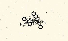 CN(Cc1ccccc1)C(=O)[C@](C)(NC(=O)C1(N(C)C(=O)c2cn(C)c3ccccc23)CCCCC1)c1ccc2ccccc2c1